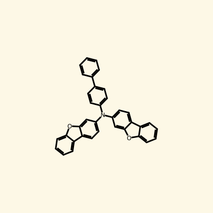 c1ccc(-c2ccc(N(c3ccc4c(c3)oc3ccccc34)c3ccc4c(c3)oc3ccccc34)cc2)cc1